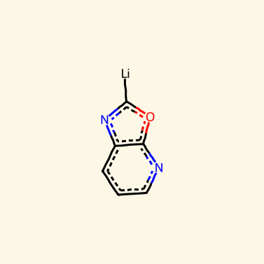 [Li][c]1nc2cccnc2o1